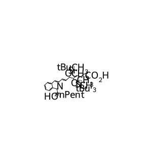 CCCCC[C@@H](O)c1nc(C=CC(O[Si](C)(C)C(C)(C)C)C(CCCC(=O)O)O[Si](C)(C)C(C)(C)C)cc2ccccc12